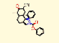 C[C@@H]1C(=O)C(C#N)C[C@@]2(c3ccccc3)c3nn(C(=O)Oc4ccccc4)cc3CCC12